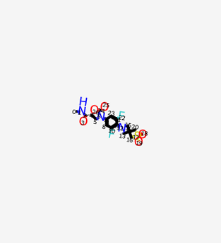 CNC(=O)[C@H]1CN(c2cc(F)c(N3CC4(C3)CS(=O)(=O)C4)c(F)c2)C(=O)O1